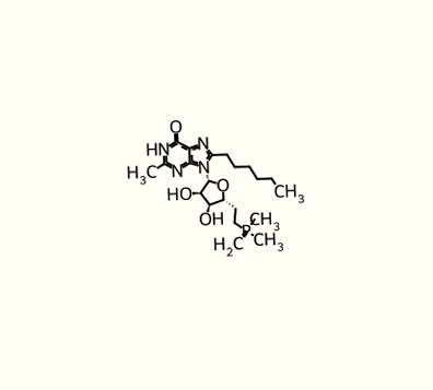 C=P(C)(C)CC[C@H]1O[C@@H](n2c(CCCCCC)nc3c(=O)[nH]c(C)nc32)[C@H](O)[C@@H]1O